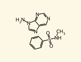 CNS(=O)(=O)c1ccccc1.Nn1cnc2cncnc21